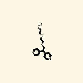 CCSCCOCCSCC(c1ccncc1)c1ccncc1